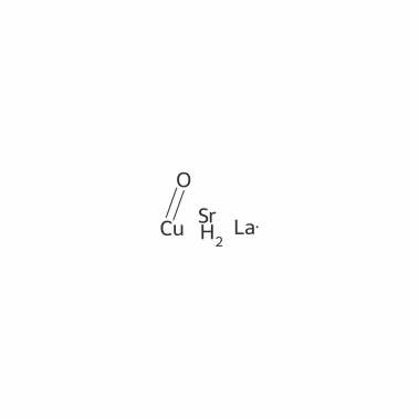 [La].[O]=[Cu].[SrH2]